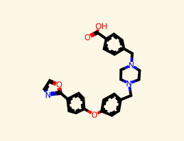 O=C(O)c1ccc(CN2CCN(Cc3ccc(Oc4ccc(-c5ncco5)cc4)cc3)CC2)cc1